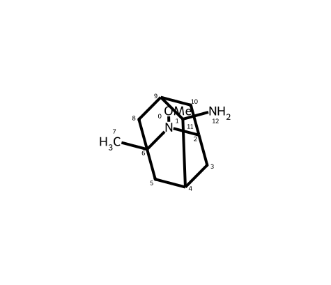 CON1C2CC3CC1(C)CC(C2)C3N